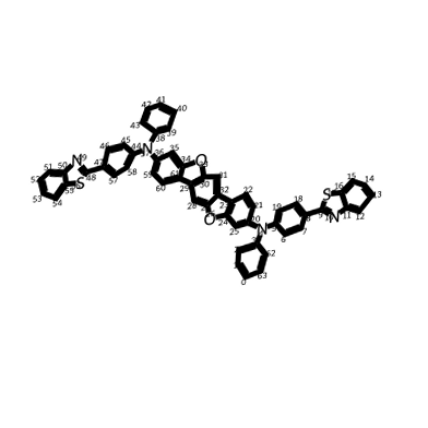 c1ccc(N(c2ccc(-c3nc4ccccc4s3)cc2)c2ccc3c(c2)oc2cc4c(cc23)oc2cc(N(c3ccccc3)c3ccc(-c5nc6ccccc6s5)cc3)ccc24)cc1